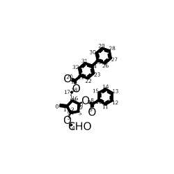 C=C1[C@H](OC=O)C[C@H](OC(=O)c2ccccc2)[C@H]1COC(=O)c1ccc(-c2ccccc2)cc1